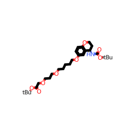 CC(C)(C)OC(=O)COCCCOCCCCCOc1ccc2c(c1)[C@H](NC(=O)OC(C)(C)C)CCO2